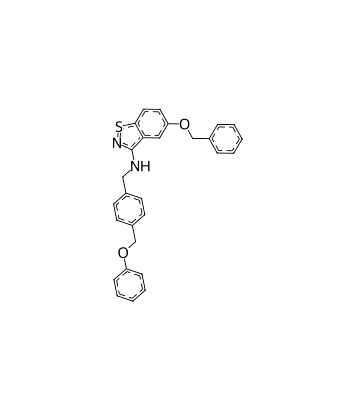 c1ccc(COc2ccc3snc(NCc4ccc(COc5ccccc5)cc4)c3c2)cc1